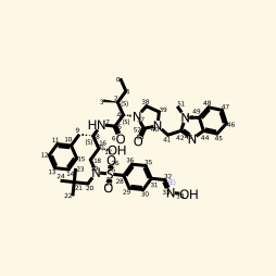 CC[C@H](C)[C@@H](C(=O)N[C@@H](Cc1ccccc1)[C@H](O)CN(CC(C)(C)C)S(=O)(=O)c1ccc(/C=N/O)cc1)N1CCN(Cc2nc3ccccc3n2C)C1=O